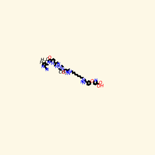 C[C@@H]1CN(c2ncc(-c3ccc4c(n3)N(Cc3cccnc3C#N)C(C)(C)C4=O)cn2)CCN1C(=O)Cc1cn(CCCCCCCCCn2cc(-c3cccc(Oc4ccc(C(=O)O)cn4)c3)nn2)nn1